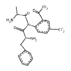 CC(N)C(=O)N(C(=O)C(N)Cc1ccccc1)c1ccc(C(F)(F)F)cc1C(=O)C(F)(F)F